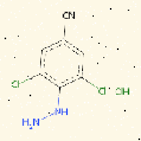 Cl.N#Cc1cc(Cl)c(NN)c(Cl)c1